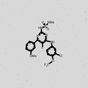 CNS(=O)(=O)Nc1nc(Nc2ccc(OC(F)(F)F)c(Cl)c2)c(F)c(-c2cccc(OC)c2)n1